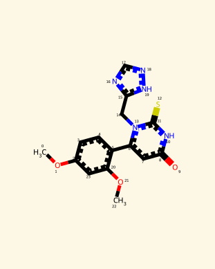 COc1ccc(-c2cc(=O)[nH]c(=S)n2Cc2ncn[nH]2)c(OC)c1